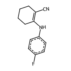 N#CC1=C(Nc2ccc(F)cc2)CCCC1